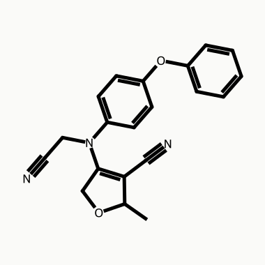 CC1OCC(N(CC#N)c2ccc(Oc3ccccc3)cc2)=C1C#N